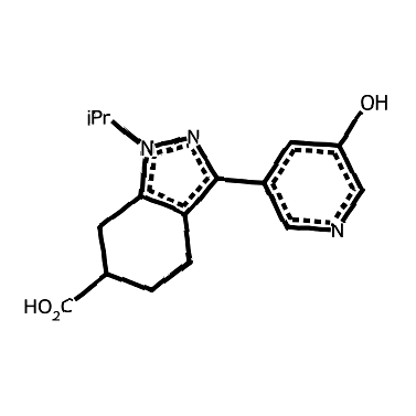 CC(C)n1nc(-c2cncc(O)c2)c2c1CC(C(=O)O)CC2